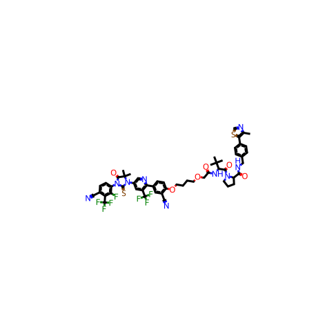 Cc1ncsc1-c1ccc(CNC(=O)C2CCCN2C(=O)C(NC(=O)COCCCCOc2ccc(-c3ncc(N4C(=S)N(c5ccc(C#N)c(C(F)(F)F)c5F)C(=O)C4(C)C)cc3C(F)(F)F)cc2C#N)C(C)(C)C)cc1